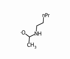 CCCCCNC(C)[O]